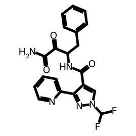 NC(=O)C(=O)C(Cc1ccccc1)NC(=O)c1cn(C(F)F)nc1-c1ccccn1